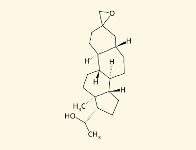 CC(O)[C@H]1CC[C@H]2[C@@H]3CC[C@H]4CC5(CC[C@@H]4[C@H]3CC[C@]12C)CO5